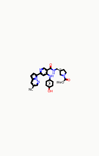 COC(=O)N1CC[C@H](CNC(=O)c2cnc(-c3ccc4cc(C#N)cnn34)cc2NC23CCC(O)(CC2)CC3)C1